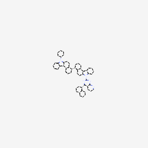 c1ccc(-n2c3ccccc3c3c4cccc(-c5cccc6c5ccc5c6c6ccccc6n5-c5nc(-c6cccc7ccccc67)c6cccnc6n5)c4ccc32)cc1